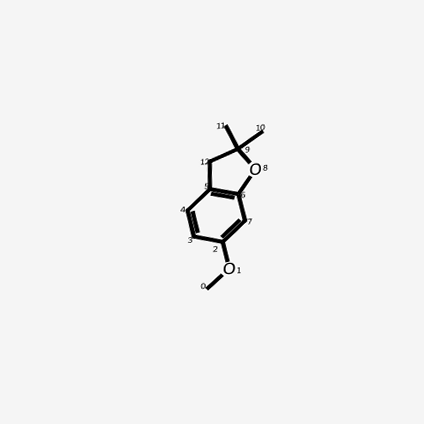 COc1ccc2c(c1)OC(C)(C)C2